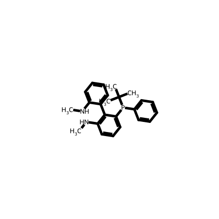 CNc1ccccc1-c1c(NC)cccc1P(c1ccccc1)C(C)(C)C